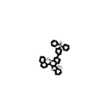 CN1c2cc(-c3ccc(P(=O)(c4ccccc4)c4ccccc4)cc3)ccc2C2=C(OC3=CC=CCC32C)C1c1cccc2ccccc12